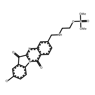 COP(=O)(OC)OCCNCc1ccc2c(=O)n3c(nc2c1)C(=O)c1cc(Cl)ccc1-3